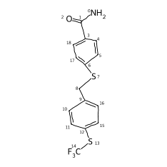 NC(=O)c1ccc(SCc2ccc(SC(F)(F)F)cc2)cc1